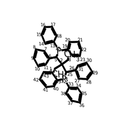 CCC(CC)(C(c1ccccc1)P(c1ccccc1)c1ccccc1)C(c1ccccc1)P(c1ccccc1)c1ccccc1